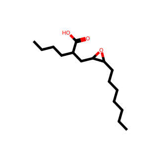 CCCCCCCC1OC1CC(CCCC)C(=O)O